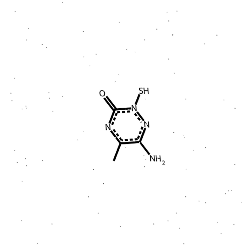 Cc1nc(=O)n(S)nc1N